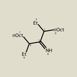 CCCCCCCCC(CC)C(=N)C(CC)CCCCCCCC